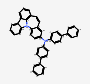 C1=Cc2cccc3c4ccccc4n(c23)-c2ccc(N(c3ccc(-c4ccccc4)cc3)c3ccc(-c4ccccc4)cc3)cc21